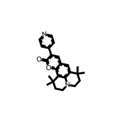 CC1(C)CCN2CCC(C)(C)c3c2c1cc1cc(-c2ccncc2)c(=O)oc31